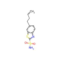 C=CCCc1ccc2nc(S(N)(=O)=O)sc2c1